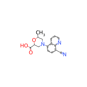 CC1CN(c2ccc(C#N)c3ncccc23)CC(C(=O)O)O1